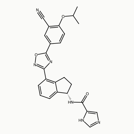 CC(C)Oc1ccc(-c2nc(-c3cccc4c3CC[C@@H]4NC(=O)c3cnc[nH]3)no2)cc1C#N